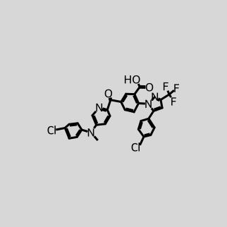 CN(c1ccc(Cl)cc1)c1ccc(C(=O)c2ccc(-n3nc(C(F)(F)F)cc3-c3ccc(Cl)cc3)c(C(=O)O)c2)nc1